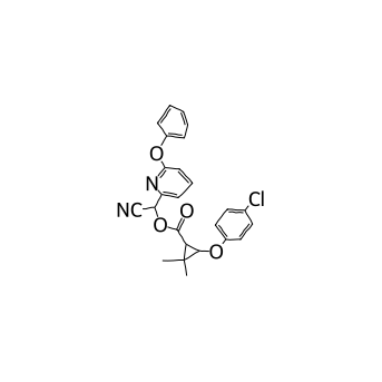 CC1(C)C(Oc2ccc(Cl)cc2)C1C(=O)OC(C#N)c1cccc(Oc2ccccc2)n1